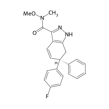 CON(C)C(=O)c1n[nH]c2c1C=C[C@](c1ccccc1)(c1ccc(F)cc1)C2